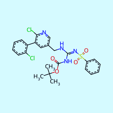 CC(C)(C)OC(=O)N/C(=N\S(=O)(=O)c1ccccc1)NCc1cnc(Cl)c(-c2ccccc2Cl)c1